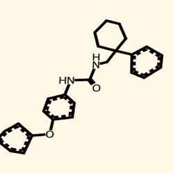 O=C(NCC1(c2ccccc2)CCCCC1)Nc1ccc(Oc2ccccc2)cc1